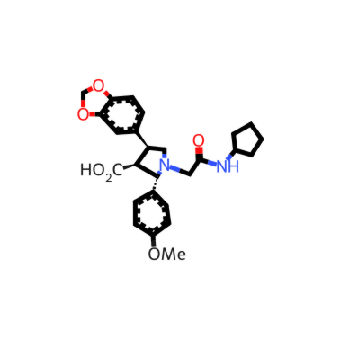 COc1ccc([C@@H]2[C@@H](C(=O)O)[C@@H](c3ccc4c(c3)OCO4)CN2CC(=O)NC2CCCC2)cc1